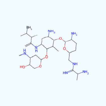 BC(C)C(C)C(=C)NC1CC(N)C(OC2OC(CNC(=N)C(C)N)CCC2N)C(C)C1OC1CC(NC)C(O)CO1